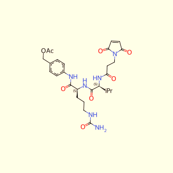 CC(=O)OCc1ccc(NC(=O)[C@H](CCCNC(N)=O)NC(=O)[C@@H](NC(=O)CCN2C(=O)C=CC2=O)C(C)C)cc1